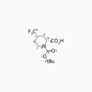 CC(C)(C)OC(=O)N1CC[C@H](C(F)(F)F)C[C@@H]1C(=O)O